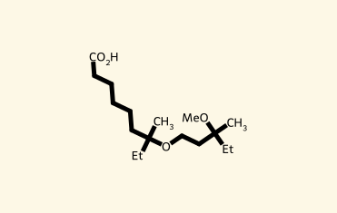 CCC(C)(CCOC(C)(CC)CCCCCC(=O)O)OC